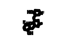 Cc1cc(Cc2cc(F)ccc2O)c(O)c(Cc2cc(F)ccc2O)c1